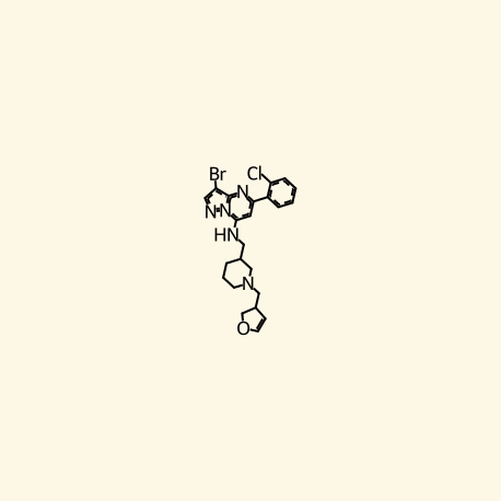 Clc1ccccc1-c1cc(NCC2CCCN(CC3C=COC3)C2)n2ncc(Br)c2n1